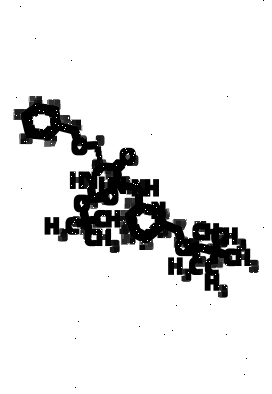 CC(C)(C)OC(=O)N[C@H](COCc1ccccc1)C(=O)NNc1cccc(CO[Si](C)(C)C(C)(C)C)n1